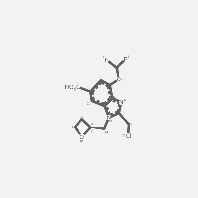 O=C(O)c1cc(OC(F)F)c2nc(CCl)n(C[C@@H]3CCO3)c2c1